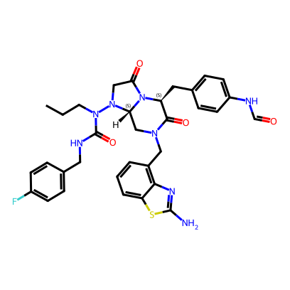 CCCN(C(=O)NCc1ccc(F)cc1)N1CC(=O)N2[C@@H](Cc3ccc(NC=O)cc3)C(=O)N(Cc3cccc4sc(N)nc34)C[C@@H]21